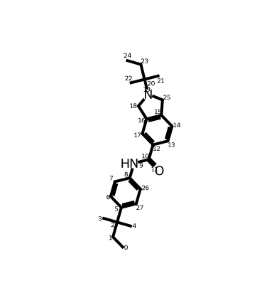 CCC(C)(C)c1ccc(NC(=O)c2ccc3c(c2)CN(C(C)(C)CC)C3)cc1